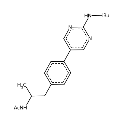 CCC(C)Nc1ncc(-c2ccc(CC(C)NC(C)=O)cc2)cn1